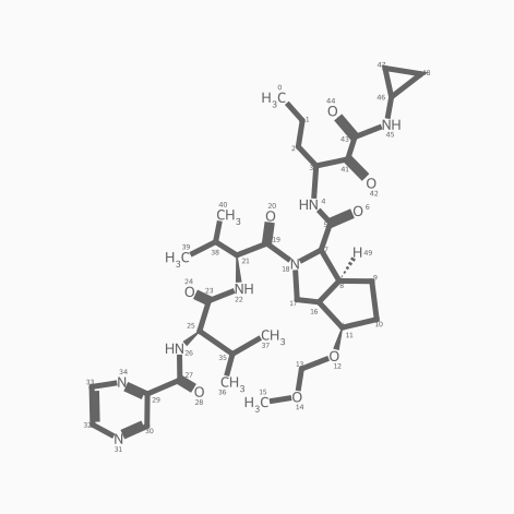 CCCC(NC(=O)C1[C@H]2CC[C@@H](OCOC)C2CN1C(=O)[C@@H](NC(=O)[C@H](NC(=O)c1cnccn1)C(C)C)C(C)C)C(=O)C(=O)NC1CC1